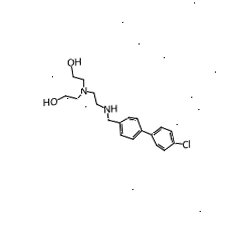 OCCN(CCO)CCNCc1ccc(-c2ccc(Cl)cc2)cc1